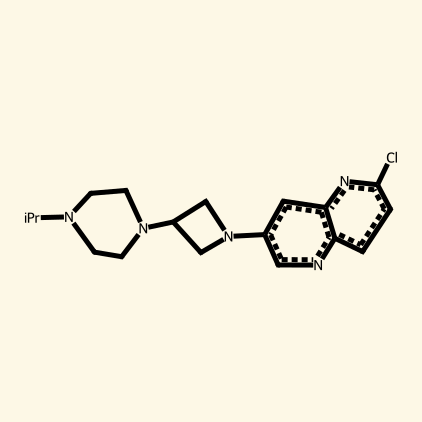 CC(C)N1CCN(C2CN(c3cnc4ccc(Cl)nc4c3)C2)CC1